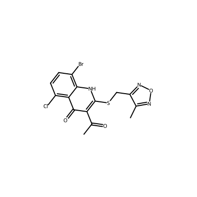 CC(=O)c1c(SCc2nonc2C)[nH]c2c(Br)ccc(Cl)c2c1=O